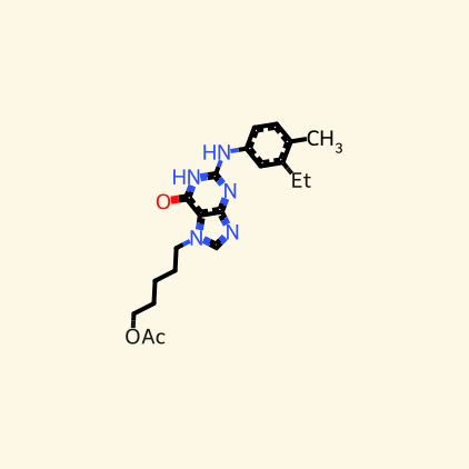 CCc1cc(Nc2nc3ncn(CCCCCOC(C)=O)c3c(=O)[nH]2)ccc1C